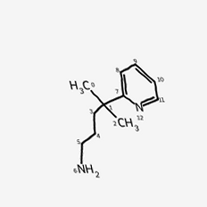 CC(C)(CCCN)c1ccccn1